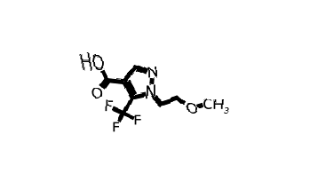 COCCn1ncc(C(=O)O)c1C(F)(F)F